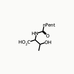 CCCCCC(=O)NC(C(=O)O)C(C)O